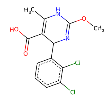 COC1=NC(c2cccc(Cl)c2Cl)C(C(=O)O)=C(C)N1